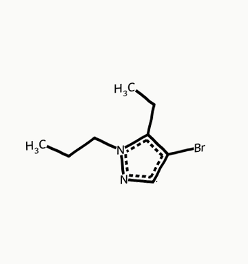 CCCn1n[c]c(Br)c1CC